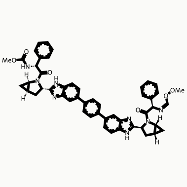 COO/C=N\[C@@H](C(=O)N1[C@@H]2C[C@@H]2C[C@H]1c1nc2cc(-c3ccc(-c4ccc5[nH]c([C@@H]6C[C@H]7C[C@H]7N6C(=O)[C@H](NC(=O)OC)c6ccccc6)nc5c4)cc3)ccc2[nH]1)c1ccccc1